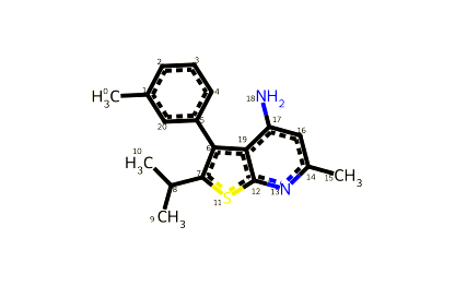 Cc1cccc(-c2c(C(C)C)sc3nc(C)cc(N)c23)c1